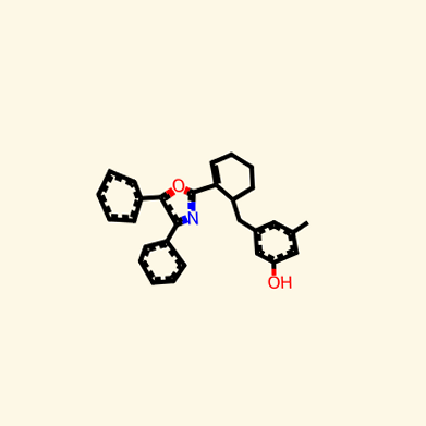 Cc1cc(O)cc(CC2CCCC=C2c2nc(-c3ccccc3)c(-c3ccccc3)o2)c1